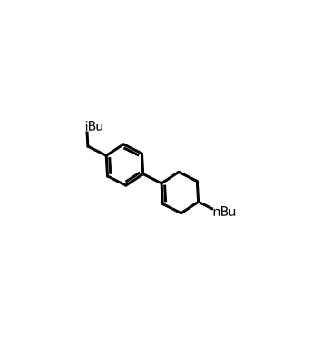 CCCCC1CC=C(c2ccc(CC(C)CC)cc2)CC1